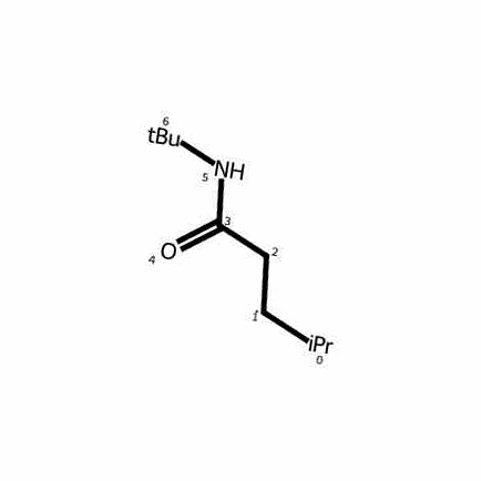 CC(C)[CH]CC(=O)NC(C)(C)C